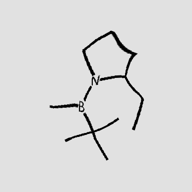 CCC1CCCN1B(C)C(C)(C)C